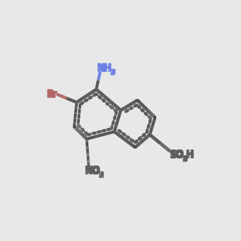 Nc1c(Br)cc([N+](=O)[O-])c2cc(S(=O)(=O)O)ccc12